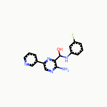 Nc1ncc(-c2cccnc2)nc1C(O)Nc1cccc(F)c1